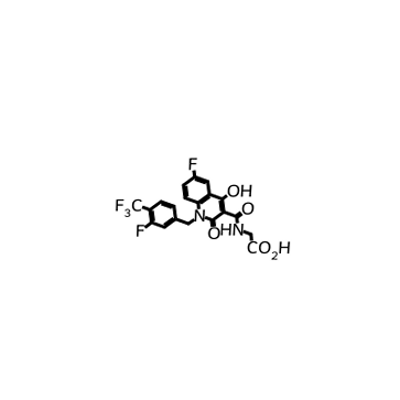 O=C(O)CNC(=O)c1c(O)c2cc(F)ccc2n(Cc2ccc(C(F)(F)F)c(F)c2)c1=O